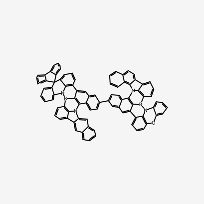 c1ccc2c(c1)Oc1cccc3c1N2B1c2c-3cc3cc(-c4ccc5c6c7c(cc5c4)-c4cccc5c4N(B7c4cccc7c8cc9ccccc9cc8n-6c47)c4ccccc4C54c5ccccc5-c5ccccc54)ccc3c2-n2c3c1cccc3c1ccc3ccccc3c12